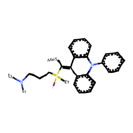 CCN(CC)CCCS(I)(CC)C(SC)=C1c2ccccc2N(c2ccccc2)c2ccccc21